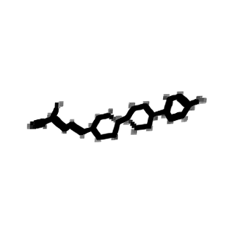 N#CC(F)=CC=C[C@H]1CC[C@H]([C@H]2CC[C@H](c3ccc(F)cc3)CC2)CC1